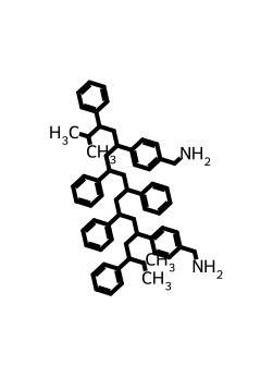 CC(C)C(CC(CC(CC(CC(CC(CC(c1ccccc1)C(C)C)c1ccc(CN)cc1)c1ccccc1)c1ccccc1)c1ccccc1)c1ccc(CN)cc1)c1ccccc1